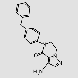 Nc1cnn2c1C(=O)N(c1ccc(Cc3ccccc3)cc1)CC2